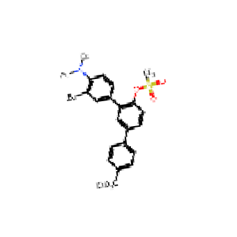 CCOC(=O)c1ccc(-c2ccc(OS(=O)(=O)C(F)(F)F)c(-c3ccc(N(CC)C(C)=O)c(C(C)(C)C)c3)c2)cc1